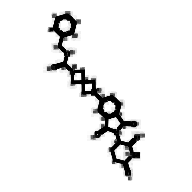 O=C1CCC(N2C(=O)c3ccc(N4CC5(CN(C(=O)OCc6ccccc6)C5)C4)cc3C2=O)C(=O)N1